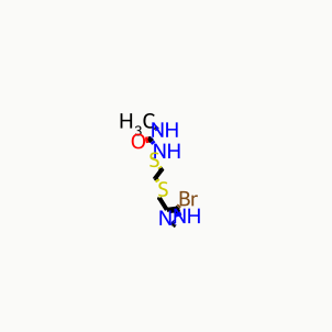 CNC(=O)NSCCSCc1nc[nH]c1Br